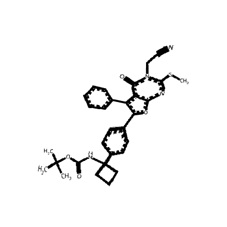 CSc1nc2oc(-c3ccc(C4(NC(=O)OC(C)(C)C)CCC4)cc3)c(-c3ccccc3)c2c(=O)n1CC#N